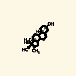 C#C[C@@]1(O)[C@@H](C)CC2C3CC=C4C[C@H](O)CC[C@@H]4C3CC[C@@]21C